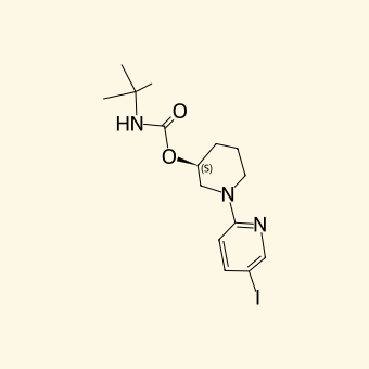 CC(C)(C)NC(=O)O[C@H]1CCCN(c2ccc(I)cn2)C1